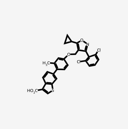 Cc1cc(OCc2c(-c3c(Cl)cccc3Cl)noc2C2CC2)ccc1-c1ccc2c(C(=O)O)csc2c1